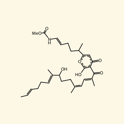 CC=CCCC=C(C)C(O)CCC(C)=CC=C(C)C(=O)c1c(O)oc(C(C)CCC=CNC(=O)OC)cc1=O